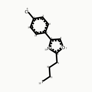 Clc1ccc(-c2coc(CCCI)n2)cc1